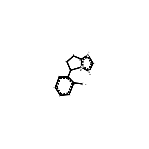 Fc1ccccc1C1CCc2ncnn21